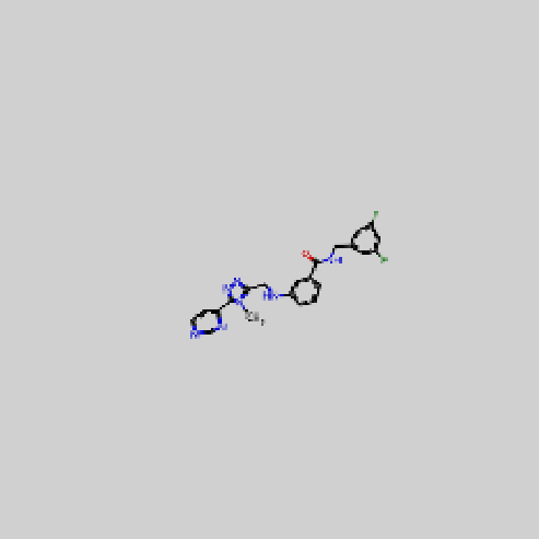 Cn1c(CNc2cccc(C(=O)NCc3cc(F)cc(F)c3)c2)nnc1-c1ccncn1